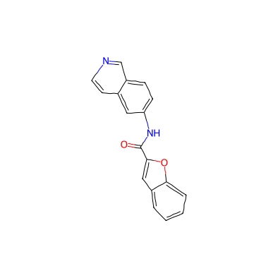 O=C(Nc1ccc2cnccc2c1)c1cc2ccccc2o1